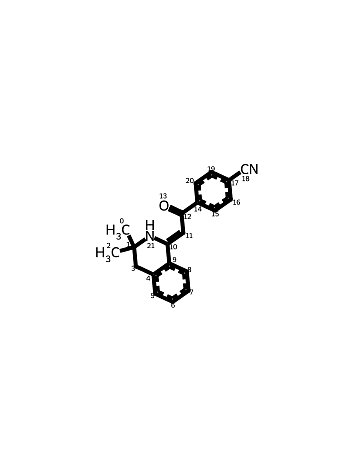 CC1(C)Cc2ccccc2C(=CC(=O)c2ccc(C#N)cc2)N1